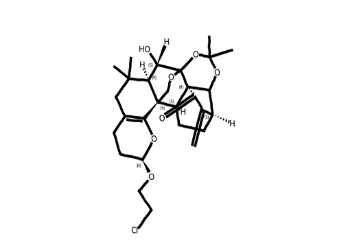 C=C1C(=O)[C@@]23C4OC(C)(C)OC25OC[C@]2(C6=C(CC[C@H](OCCCl)O6)CC(C)(C)[C@H]2[C@@H]5O)[C@@H]3CC[C@@H]14